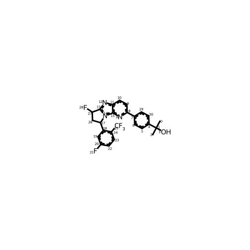 CC(C)(O)c1ccc(-c2ccc3nc4n(c3n2)C(c2cc(F)ccc2C(F)(F)F)CC4F)cc1